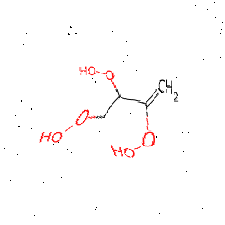 C=C(OO)C(COO)OO